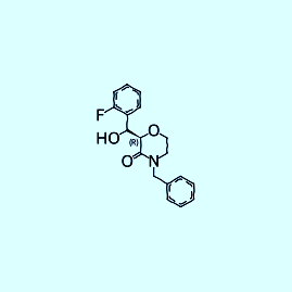 O=C1[C@@H](C(O)c2ccccc2F)OCCN1Cc1ccccc1